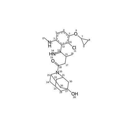 CNc1ccc(OC2CC2)c(Cl)c1C(=N)C(C)CC(=O)N1C2CC3CC1CC(O)(C3)C2